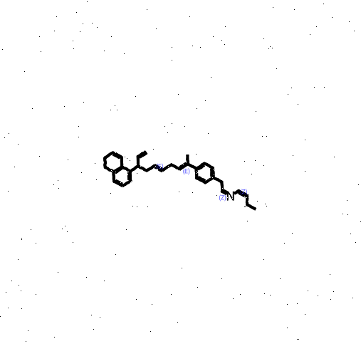 C=CC(C/C=C/C/C=C(\C)c1ccc(C/C=N\C=C/CC)cc1)c1cccc2c1C=CCC2